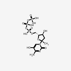 C[C@]1(n2cc(O)c(N)nc2=O)C[C@H](O)[C@@H](COP(=O)(O)OP(=O)(O)OP(=O)(O)O)O1